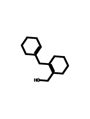 OCC1=C(CC2=CCCCC2)CCCC1